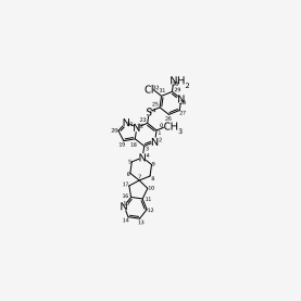 Cc1nc(N2CCC3(CC2)Cc2cccnc2C3)c2ccnn2c1Sc1ccnc(N)c1Cl